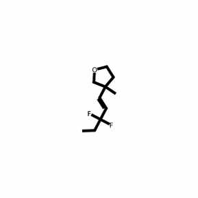 CCC(F)(F)/C=C/C1(C)CCOC1